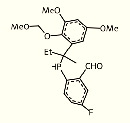 CCC(C)(Pc1ccc(F)cc1C=O)c1cc(OC)cc(OC)c1OCOC